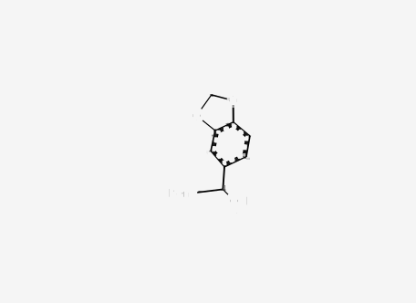 CCCCCC(O)c1[c]cc2c(c1)OCO2